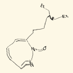 CCN(CC)CCc1ccccn[n+]1=O